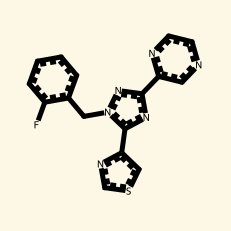 Fc1ccccc1Cn1nc(-c2cnccn2)nc1-c1cscn1